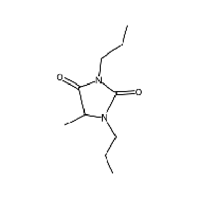 CCCN1C(=O)C(C)N(CCC)C1=O